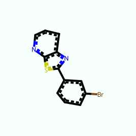 Brc1cccc(-c2nc3cccnc3s2)c1